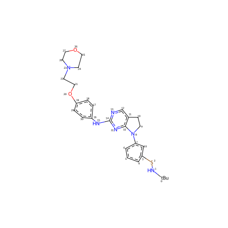 CC(C)(C)NSc1cccc(N2CCc3cnc(Nc4ccc(OCCN5CCOCC5)cc4)nc32)c1